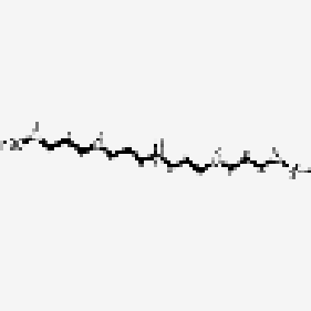 CCCCOCCCOCCCNCCCOCCCOCCCC